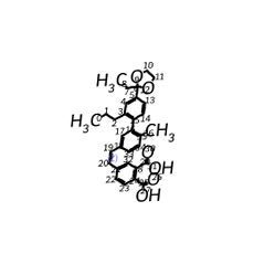 CCCc1cc(C2(CC)OCCO2)ccc1-c1cc(/C=C\c2ccc(C(=O)O)c(C(=O)O)c2)ccc1C